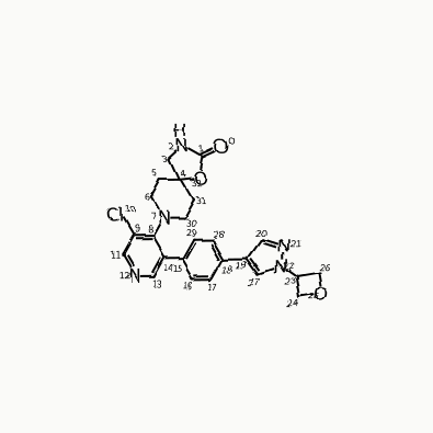 O=C1NCC2(CCN(c3c(Cl)cncc3-c3ccc(-c4cnn(C5COC5)c4)cc3)CC2)O1